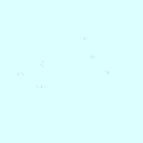 Cl.N=C(N)NC(=O)c1cccc(NC(=S)Nc2ccccc2)c1